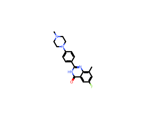 Cc1cc(F)cc2c(=O)[nH]c(-c3ccc(N4CCN(C)CC4)cc3)nc12